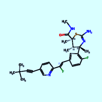 CNC(=O)[C@@]1(C)SC(N)=N[C@](C)(c2cc(/C=C(\F)c3ccc(C#CC(C)(C)C)cn3)ccc2F)[C@@H]1C